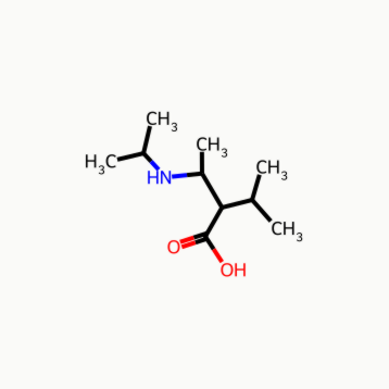 CC(C)NC(C)C(C(=O)O)C(C)C